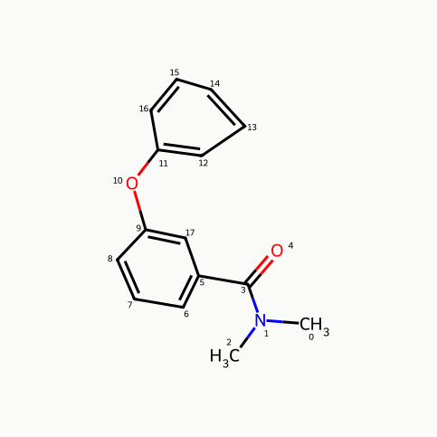 CN(C)C(=O)c1cccc(Oc2ccccc2)c1